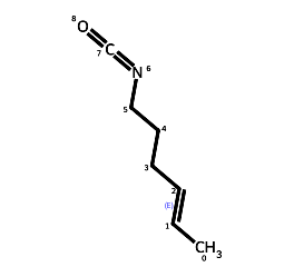 C/C=C/CCCN=C=O